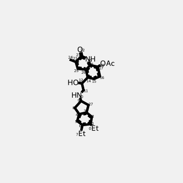 CCc1cc2c(cc1CC)CC(NCC(O)c1ccc(OC(C)=O)c3[nH]c(=O)c(C)cc13)C2